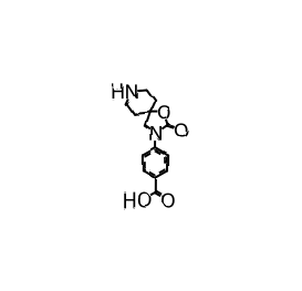 O=C(O)c1ccc(N2CC3(CCNCC3)OC2=O)cc1